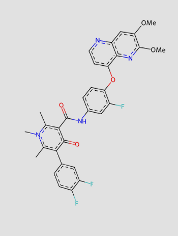 COc1cc2nccc(Oc3ccc(NC(=O)c4c(C)n(C)c(C)c(-c5ccc(F)c(F)c5)c4=O)cc3F)c2nc1OC